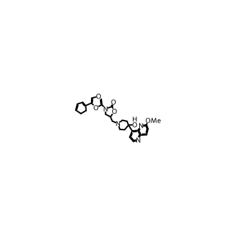 COc1ccc2nccc(C3(O)CCN(CC4CN(C5=COC=C(C6=CC=CCC6)O5)C(=O)O4)CC3)c2n1